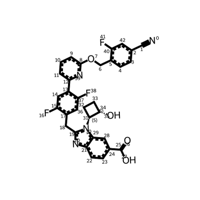 N#Cc1ccc(COc2cccc(-c3cc(F)c(Cc4nc5ccc(C(=O)O)cc5n4[C@H]4CC[C@@H]4O)cc3F)n2)c(F)c1